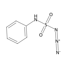 [N-]=[N+]=NS(=O)(=O)Nc1ccccc1